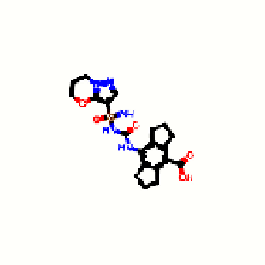 N=S(=O)(NC(=O)Nc1c2c(c(C(=O)O)c3c1CCC3)CCC2)c1cnn2c1OCCC2